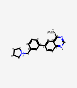 CNc1ncnc2ccc(-c3cccc(CN4CCCC4)c3)cc12